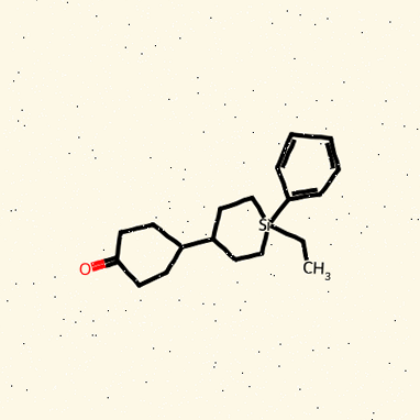 CC[Si]1(c2ccccc2)CCC(C2CCC(=O)CC2)CC1